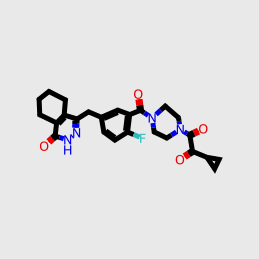 O=C(C(=O)N1CCN(C(=O)c2cc(Cc3n[nH]c(=O)c4c3CCCC4)ccc2F)CC1)C1CC1